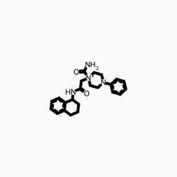 NC(=O)[N+]1(CC(=O)NC2CCCc3ccccc32)CCN(c2ccccc2)CC1